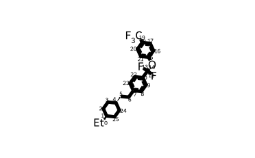 CC[C@H]1CC[C@H](CCc2ccc(C(F)(F)Oc3ccc(C(F)(F)F)cc3)cc2)CC1